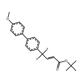 COc1ccc(-c2ccc(C(F)(F)/C=C/C(=O)OC(C)(C)C)cc2)cc1